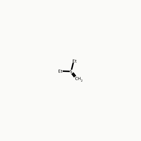 C=S(CC)CC